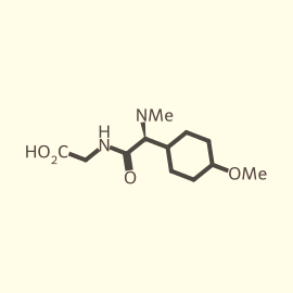 CN[C@H](C(=O)NCC(=O)O)C1CCC(OC)CC1